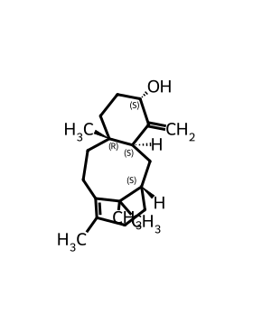 C=C1[C@H]2C[C@@H]3CCC(C)=C(CC[C@]2(C)CC[C@@H]1O)C3(C)C